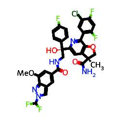 COc1cc(C(=O)NC[C@@](O)(c2ccc(F)cc2)c2cc3c(c(-c4cc(Cl)c(F)cc4F)n2)OC[C@]3(C)C(N)=O)cc2cn(C(F)F)nc12